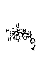 Cc1c(-c2[nH]nc(-c3ncc(C4CCN(CC5CC5)CC4)s3)c2C(C)C)cn(C)c(=O)c1C